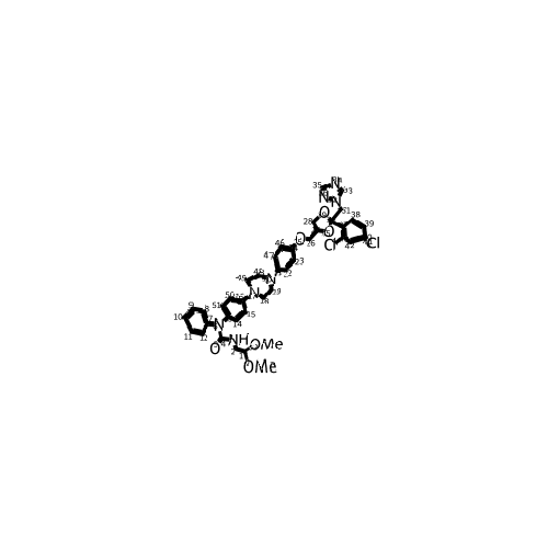 COC(CNC(=O)N(c1ccccc1)c1ccc(N2CCN(c3ccc(OCC4COC(Cn5cncn5)(c5ccc(Cl)cc5Cl)O4)cc3)CC2)cc1)OC